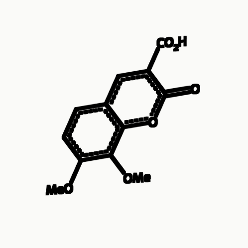 COc1ccc2cc(C(=O)O)c(=O)oc2c1OC